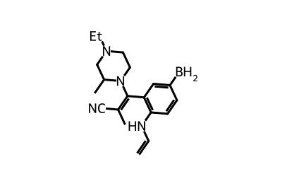 Bc1ccc(NC=C)c(/C(=C(\C)C#N)N2CCN(CC)CC2C)c1